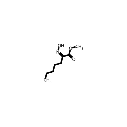 CCCCCC(=NO)C(=O)OC